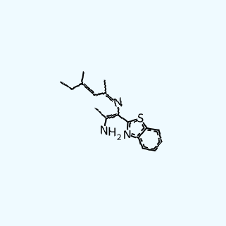 CC/C(C)=C/C(C)=N\C(=C(/C)N)c1nc2ccccc2s1